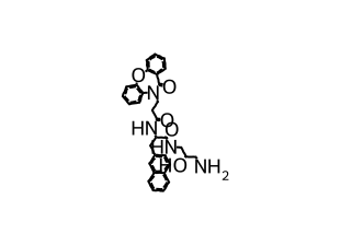 NC[C@@H](O)CNC(=O)C(Cc1ccc2ccccc2c1)NC(=O)CCN1C(=O)c2ccccc2Oc2ccccc21